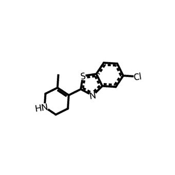 CC1=C(c2nc3cc(Cl)ccc3s2)CCNC1